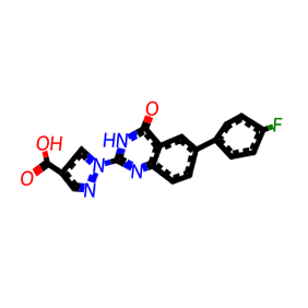 O=C(O)c1cnn(-c2nc3ccc(-c4ccc(F)cc4)cc3c(=O)[nH]2)c1